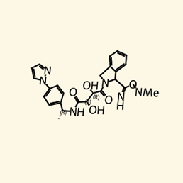 CNOC(=N)C1c2ccccc2CN1C(=O)[C@H](O)[C@@H](O)C(=O)N[C@H](C)c1ccc(-n2cccn2)cc1